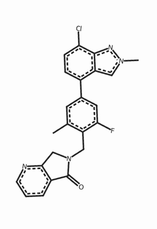 Cc1cc(-c2ccc(Cl)c3nn(C)cc23)cc(F)c1CN1Cc2ncccc2C1=O